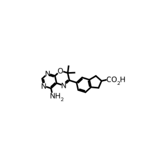 CC1(C)Oc2ncnc(N)c2N=C1c1ccc2c(c1)CC(C(=O)O)C2